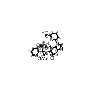 CCOc1cccc(-n2cnc3nc(Cl)c(C4CC4(c4c(OC)cccc4OC)S(N)(=O)=O)nc32)n1